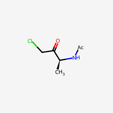 CC(=O)N[C@@H](C)C(=O)CCl